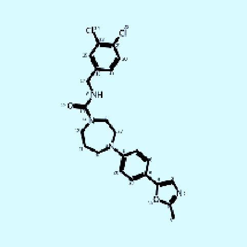 Cc1ncc(-c2ccc(N3CCCN(C(=O)NCc4ccc(Cl)c(Cl)c4)CC3)cc2)o1